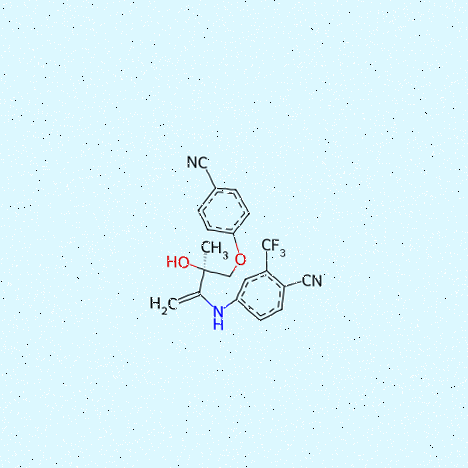 C=C(Nc1ccc(C#N)c(C(F)(F)F)c1)[C@@](C)(O)COc1ccc(C#N)cc1